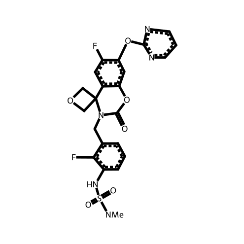 CNS(=O)(=O)Nc1cccc(CN2C(=O)Oc3cc(Oc4ncccn4)c(F)cc3C23COC3)c1F